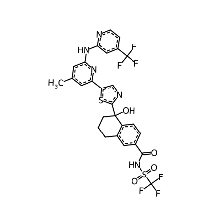 Cc1cc(Nc2cc(C(F)(F)F)ccn2)nc(-c2cnc(C3(O)CCCc4cc(C(=O)NS(=O)(=O)C(F)(F)F)ccc43)s2)c1